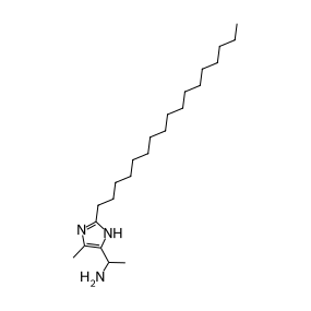 CCCCCCCCCCCCCCCCCc1nc(C)c(C(C)N)[nH]1